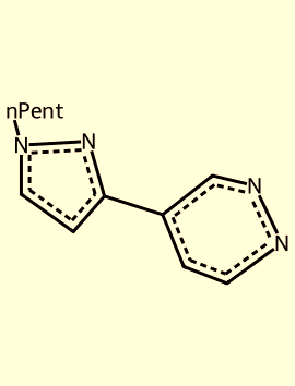 CCCCCn1ccc(-c2ccnnc2)n1